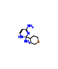 NC1=NC(N)(C2CCSCC2)NC=C1